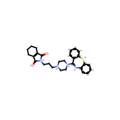 O=C1C2=C(CCCC2)C(=O)N1CCCN1CCN(C2=Nc3ccccc3Sc3ccccc32)CC1